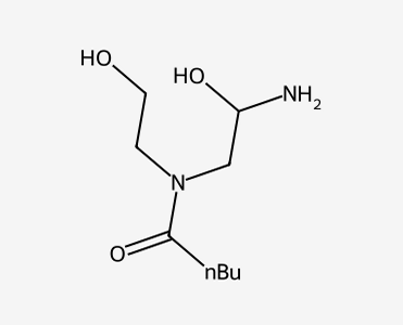 CCCCC(=O)N(CCO)CC(N)O